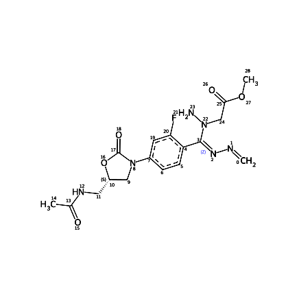 C=N/N=C(/c1ccc(N2C[C@H](CNC(C)=O)OC2=O)cc1F)N(N)CC(=O)OC